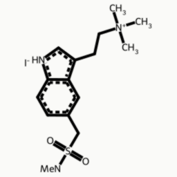 CNS(=O)(=O)Cc1ccc2[nH]cc(CC[N+](C)(C)C)c2c1.[I-]